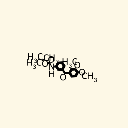 COc1ccc(C(=O)c2cccc(NC(=O)OC(C)(C)C)c2)cc1OC